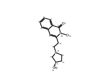 O=c1c2ccccc2cc(CCN2CC[C@@H](O)C2)n1Cl